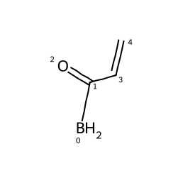 BC(=O)C=C